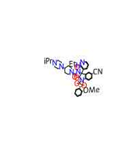 CCOc1ncccc1C1(NC(=O)N2CCC(N3CCN(C(C)C)CC3)CC2)C(=O)N(S(=O)(=O)c2ccccc2OC)c2ccc(C#N)cc21